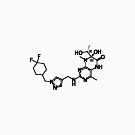 Cc1nc(NCc2cnn(CC3CCC(F)(F)CC3)c2)nc2c1NC(=O)[C@@](O)([C@@H](C)O)N2C